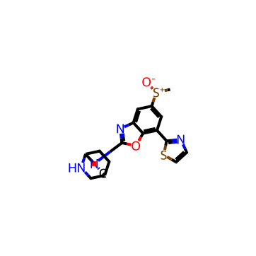 C[S+]([O-])c1cc(-c2nccs2)c2oc(N3CC4CCC(C3)NC4)nc2c1